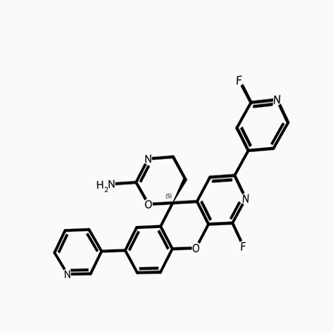 NC1=NCC[C@]2(O1)c1cc(-c3cccnc3)ccc1Oc1c2cc(-c2ccnc(F)c2)nc1F